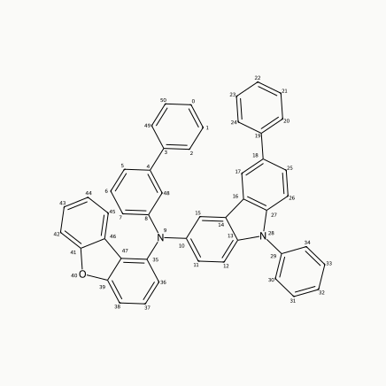 c1ccc(-c2cccc(N(c3ccc4c(c3)c3cc(-c5ccccc5)ccc3n4-c3ccccc3)c3cccc4oc5ccccc5c34)c2)cc1